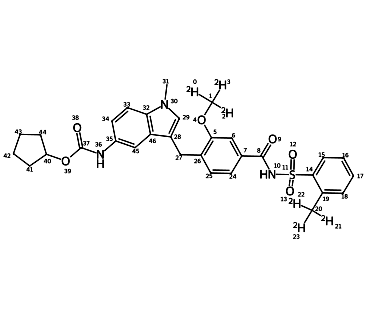 [2H]C([2H])([2H])Oc1cc(C(=O)NS(=O)(=O)c2ccccc2C([2H])([2H])[2H])ccc1Cc1cn(C)c2ccc(NC(=O)OC3CCCC3)cc12